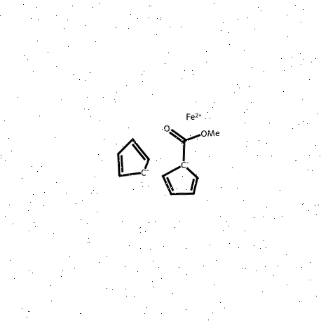 COC(=O)[c-]1cccc1.[Fe+2].c1cc[cH-]c1